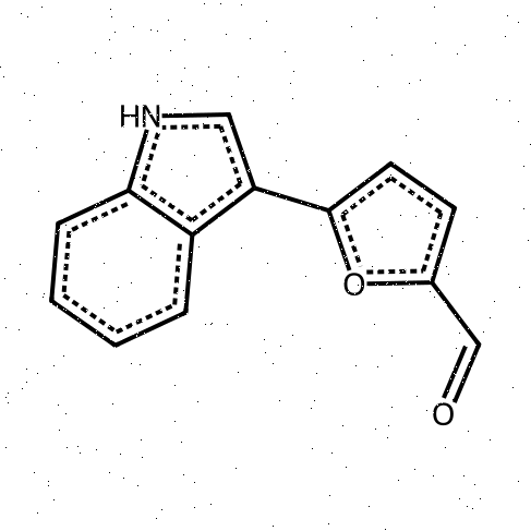 O=Cc1ccc(-c2c[nH]c3ccccc23)o1